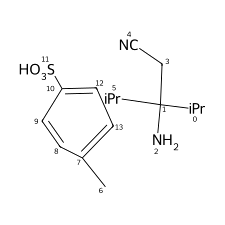 CC(C)C(N)(CC#N)C(C)C.Cc1ccc(S(=O)(=O)O)cc1